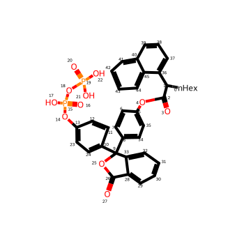 CCCCCCC(C(=O)Oc1ccc(C2(c3ccc(OP(=O)(O)OP(=O)(O)O)cc3)OC(=O)c3ccccc32)cc1)c1cccc2ccccc12